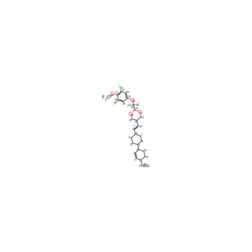 CCCCC1C=CC(C2CCC(/C=C/C3COC(C(F)(F)Oc4cc(F)c(OC(F)(F)F)c(F)c4)OC3)CC2)CC1